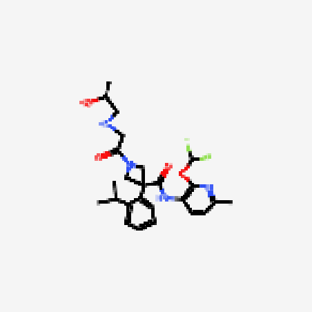 Cc1ccc(NC(=O)C2(c3ccccc3C(C)C)CN(C(=O)CNC[C@H](C)O)C2)c(OC(F)F)n1